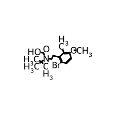 COc1ccc(Br)c(CCN(C(=O)O)C(C)(C)C)c1C